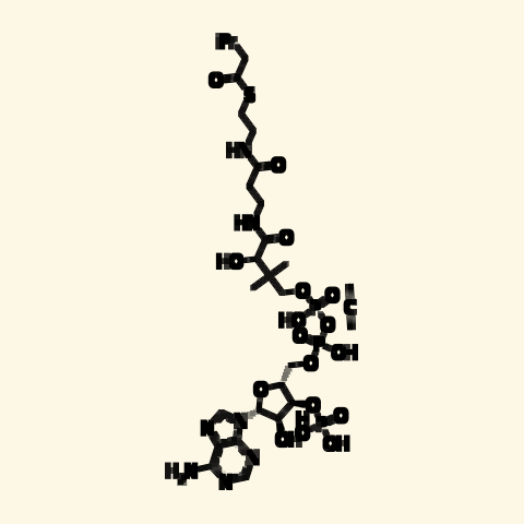 C=C=C.CC(C)CC(=O)SCCNC(=O)CCNC(=O)C(O)C(C)(C)COP(=O)(O)OP(=O)(O)OC[C@H]1O[C@@H](n2cnc3c(N)ncnc32)[C@H](O)[C@@H]1OP(=O)(O)O